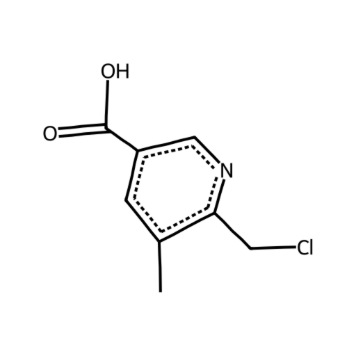 Cc1cc(C(=O)O)cnc1CCl